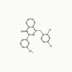 O=c1c(-c2cccc(C(F)(F)F)c2)nn(Cc2ccc(Cl)cc2Cl)c2ccccc12